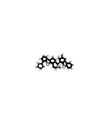 Cc1cc2c(oc3ccccc32)c(-c2c3ccc4c5cccc(C6CCCC6)c5oc4c3cc[n+]2C)c1C